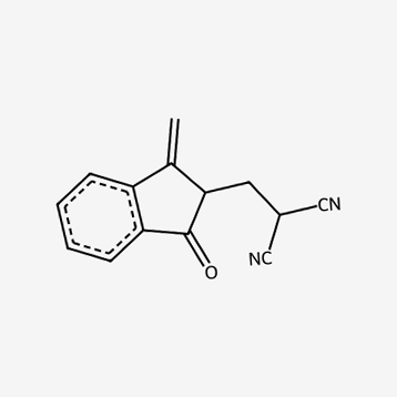 C=C1c2ccccc2C(=O)C1CC(C#N)C#N